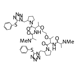 CNC(C)C(=O)NC(C(=O)N1CCCC1Cn1nnnc1Sc1ccccc1)C(C)OCCOC(C)C(NC(=O)C(C)NC)C(=O)N1CCCC1Cn1nnnc1Sc1ccccc1